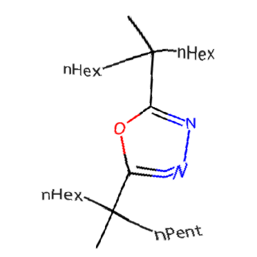 CCCCCCC(C)(CCCCC)c1nnc(C(C)(CCCCCC)CCCCCC)o1